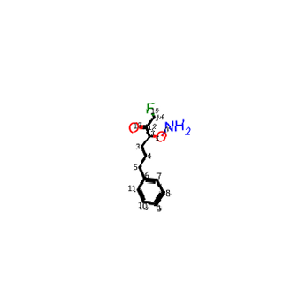 NOC(CCCc1ccccc1)C(=O)CF